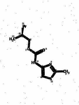 Cc1nc(NC(=O)OC[C@@H](C)C(C)C)cs1